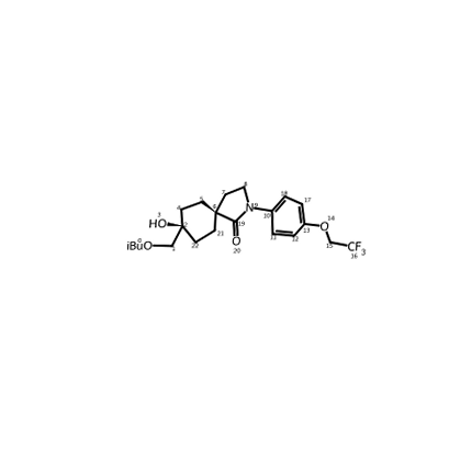 CC(C)COC[C@]1(O)CC[C@]2(CCN(c3ccc(OCC(F)(F)F)cc3)C2=O)CC1